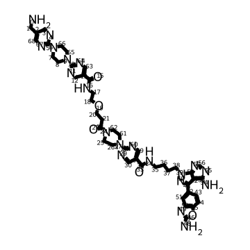 NCc1cnc(N2CCN(c3ncc(C(=O)NCCOCCC(=O)N4CCN(c5ncc(C(=O)NCCCCn6nc(-c7ccc8oc(N)nc8c7)c7c(N)ncnc76)cn5)CC4)cn3)CC2)nc1